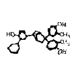 Cc1cc(C2(c3ccc(O)c(C)c3)CC3CC2CC3c2ccc(O)c(C3CCCCC3)c2)ccc1O